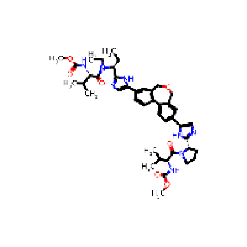 CC[C@@H](c1ncc(-c2ccc3c(c2)COCc2cc(-c4cnc([C@@H]5CCCN5C(=O)[C@@H](NC(=O)OC)C(C)C)[nH]4)ccc2-3)[nH]1)N(CC)C(=O)[C@@H](NC(=O)OC)C(C)C